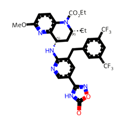 CCOC(=O)N1c2ccc(OC)nc2[C@@H](Nc2ncc(-c3noc(=O)[nH]3)cc2Cc2cc(C(F)(F)F)cc(C(F)(F)F)c2)C[C@H]1CC